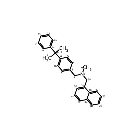 CN(Cc1ccc(C(C)(C)c2ccccc2)cc1)Cc1cccc2ccccc12